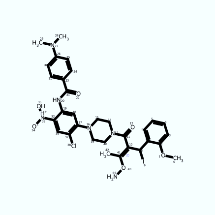 COc1ccccc1C(I)/C(C(=O)N1CCN(c2cc(NC(=O)c3ccc(N(C)C)cc3)c([NH+]([O-])O)cc2Cl)CC1)=C(/C)ON